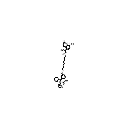 O=C(O)N(C(c1cccc(OCCCCCCCCCNC[C@@H](O)c2ccc(O)c3[nH]c(=O)ccc23)c1)C1CCCCC1)[C@H]1CN2CCC1CC2